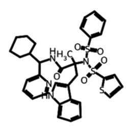 CC(Cc1c[nH]c2ccccc12)(C(=O)NC(c1ccccn1)C1CCCCC1)N(S(=O)(=O)c1ccccc1)S(=O)(=O)c1cccs1